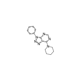 c1ccc(-n2nnc3c(N4CCCCC4)ncnc32)cc1